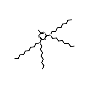 CCCCCCCCCN(CCCCCCCC)c1nc(C)nc(N(CCCCCCCC)CCCCCCCC)n1